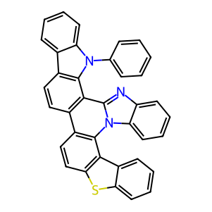 c1ccc(-n2c3ccccc3c3ccc4c5ccc6sc7ccccc7c6c5n5c6ccccc6nc5c4c32)cc1